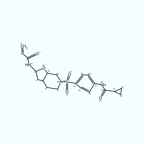 C=CC(=O)NC1CC2CCN(S(=O)(=O)c3ccc(NC(=O)C4CC4)cc3)CC2O1